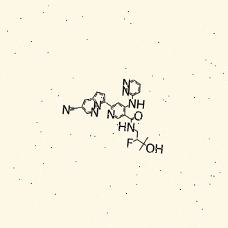 CC(C)(O)C(F)CNC(=O)c1cnc(-c2ccc3cc(C#N)cnn23)cc1Nc1cccnn1